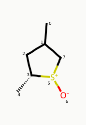 CC1C[C@@H](C)[S+]([O-])C1